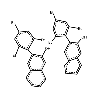 CCc1cc(CC)c(-c2cc3ccccc3cc2O)c(CC)c1.CCc1cc(CC)c(-c2cc3ccccc3cc2O)c(CC)c1